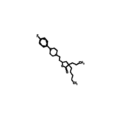 CCCCCC1(CCC)CC(CCN2CCN(c3ccc(F)cc3)CC2)OC1=O